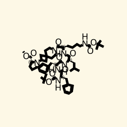 COC(=O)[C@H]1CCCN1C1CC2(CCN(C(=O)[C@@H](CCCCNC(=O)OC(C)(C)C)NC(=O)[C@@H](CC(C)C)NC(=O)[C@@H](Cc3ccccc3)NC(=O)[C@@H](Cc3ccccc3)NC(=O)OC(C)(C)C)CC2)C1